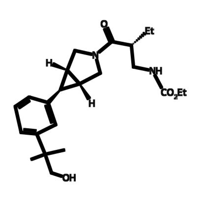 CCOC(=O)NC[C@@H](CC)C(=O)N1C[C@@H]2[C@H](C1)[C@H]2c1cccc(C(C)(C)CO)c1